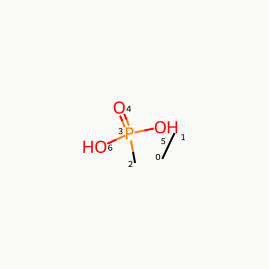 CC.CP(=O)(O)O